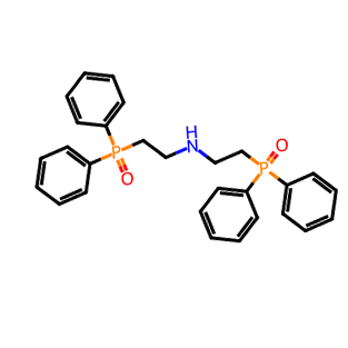 O=P(CCNCCP(=O)(c1ccccc1)c1ccccc1)(c1ccccc1)c1ccccc1